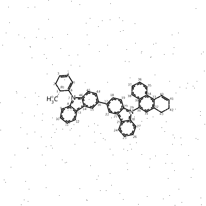 C[C@@H]1CC=CC=C1n1c2ccccc2c2cc(-c3ccc4c(c3)c3ccccc3n4-c3cc4c(c5ccccc35)C=CCC4)ccc21